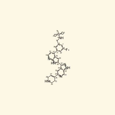 CS(=O)(=O)NCc1cc(F)cc(-c2ccnc3[nH]c(-c4n[nH]c5cnc(C6=CCNCC6)cc45)cc23)c1